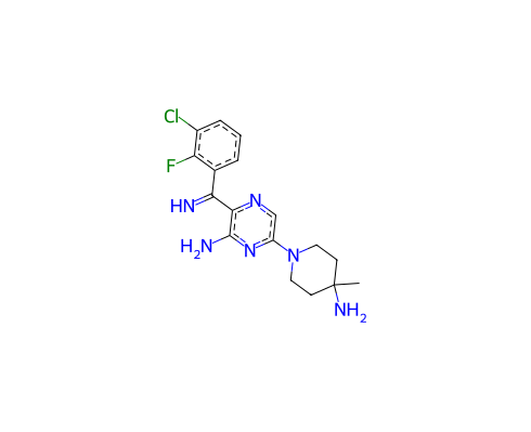 CC1(N)CCN(c2cnc(C(=N)c3cccc(Cl)c3F)c(N)n2)CC1